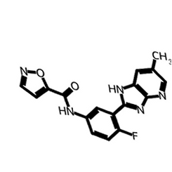 Cc1cnc2nc(-c3cc(NC(=O)c4ccno4)ccc3F)[nH]c2c1